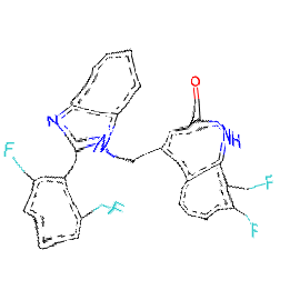 O=c1cc(Cn2c(-c3c(F)cccc3F)nc3ccccc32)c2ccc(F)c(F)c2[nH]1